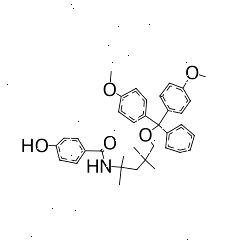 COc1ccc(C(OCC(C)(C)CC(C)(C)NC(=O)c2ccc(O)cc2)(c2ccccc2)c2ccc(OC)cc2)cc1